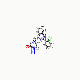 O=C1CN(Cc2nc(-c3ccccc3Cl)nc3ccccc23)CCN1